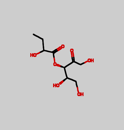 CCC(O)C(=O)O[C@@H](C(=O)CO)[C@H](O)CO